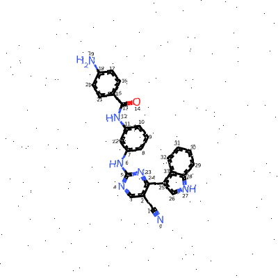 N#Cc1cnc(Nc2cccc(NC(=O)c3ccc(N)cc3)c2)nc1-c1c[nH]c2ccccc12